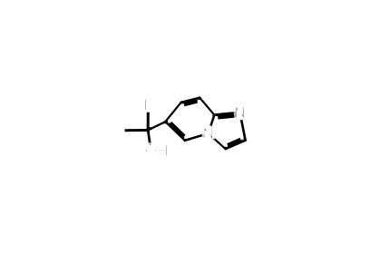 CC(O)(F)c1ccc2nccn2c1